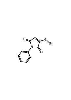 CCSC1=CC(=O)N(c2ccccc2)C1=O